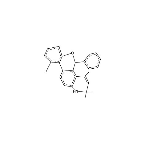 CC1=CC(C)(C)Nc2ccc3c(c21)C(c1ccccc1)Oc1cccc(C)c1-3